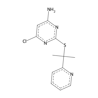 CC(C)(Sc1nc(N)cc(Cl)n1)c1ccccn1